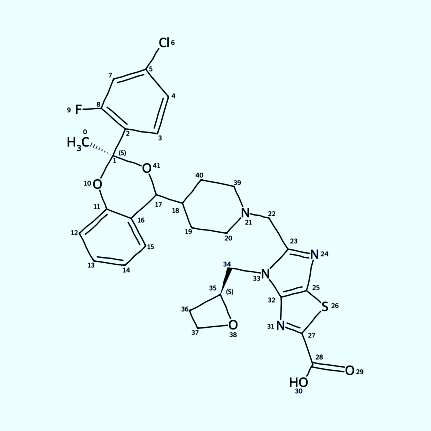 C[C@@]1(c2ccc(Cl)cc2F)Oc2ccccc2C(C2CCN(Cc3nc4sc(C(=O)O)nc4n3C[C@@H]3CCO3)CC2)O1